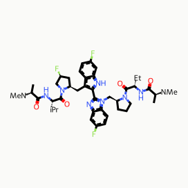 CC[C@H](NC(=O)[C@H](C)NC)C(=O)N1CCC[C@H]1Cn1c(-c2[nH]c3cc(F)ccc3c2C[C@@H]2C[C@H](F)CN2C(=O)[C@@H](NC(=O)[C@H](C)NC)C(C)C)nc2cc(F)ccc21